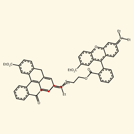 CCOC(=O)c1ccc2c(c1)C(c1ccccc1C(=O)OCCSSCCOC(=O)c1ccccc1-c1c3ccc(=[N+](CC)CC)cc-3oc3ccc(C(=O)OCC)cc13)=C1C=CC(=[N+](CC)CC)C=C1C2